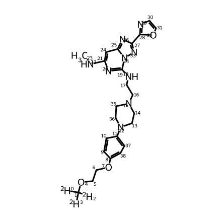 [2H]C([2H])([2H])OCCOc1ccc(N2CCN(CCNc3nc(NC)cc4nc(-c5ncco5)nn34)CC2)cc1